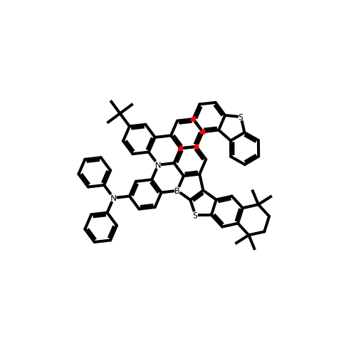 CC(C)(C)c1ccc(N2c3cc(N(c4ccccc4)c4ccccc4)ccc3B3c4sc5cc6c(cc5c4-c4cc(-c5cccc7sc8ccccc8c57)cc2c43)C(C)(C)CCC6(C)C)c(-c2ccccc2)c1